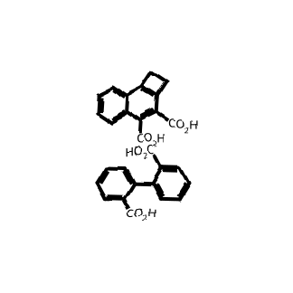 O=C(O)c1c2c(c3ccccc3c1C(=O)O)CC2.O=C(O)c1ccccc1-c1ccccc1C(=O)O